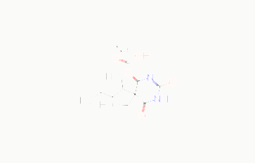 CCCC(C)C1(CC)C(=O)N=C([O-])NC1=O.O=CO.[Na+]